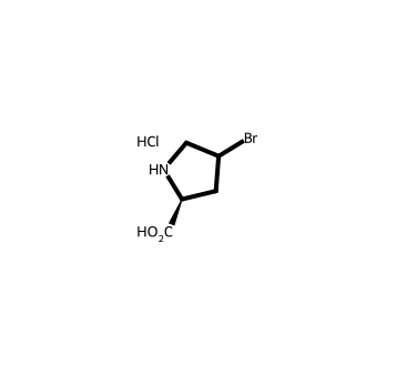 Cl.O=C(O)[C@@H]1CC(Br)CN1